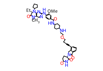 CC[C@@H]1C(=O)N(C)c2cnc(Nc3ccc(C(=O)NC4CCC(NCCOCCC#Cc5cccc6c5CN(C5CCC(=O)NC5=O)C6=O)CC4)cc3OC)nc2N1C1CCCC1